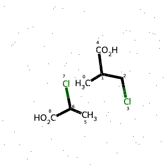 CC(CCl)C(=O)O.CC(Cl)C(=O)O